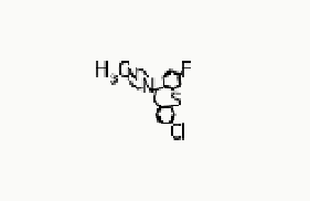 CN1CCN(C2Cc3ccc(Cl)cc3Sc3cc(F)ccc32)CC1